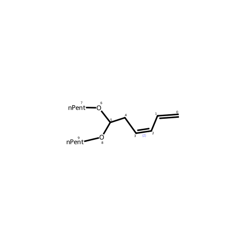 C=C/C=C\CC(OCCCCC)OCCCCC